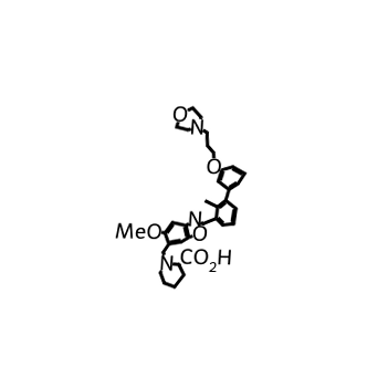 COc1cc2nc(-c3cccc(-c4cccc(OCCCN5CCOCC5)c4)c3C)oc2cc1CN1CCCCC1C(=O)O